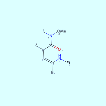 CCN/C(=C\C(C)C(=O)N(C)OC)CC